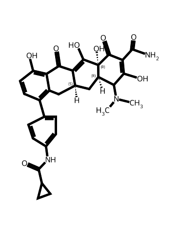 CN(C)C1C(O)=C(C(N)=O)C(=O)[C@]2(O)C(O)=C3C(=O)c4c(O)ccc(-c5ccc(NC(=O)C6CC6)cc5)c4C[C@@H]3C[C@H]12